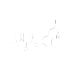 CSC(Oc1cc(C)c2ncc(I)cc2c1)C(=O)NC(C)(C)C